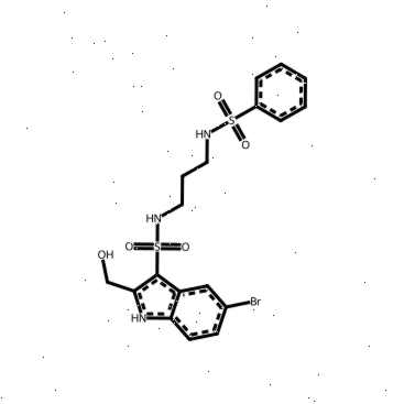 O=S(=O)(NCCCNS(=O)(=O)c1c(CO)[nH]c2ccc(Br)cc12)c1ccccc1